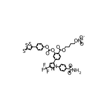 NS(=O)(=O)c1ccc(-n2nc(C(F)(F)F)cc2-c2ccc(C(=O)OCCCCO[N+](=O)[O-])c(OC(=O)Oc3ccc(-c4cc(=S)ss4)cc3)c2)cc1